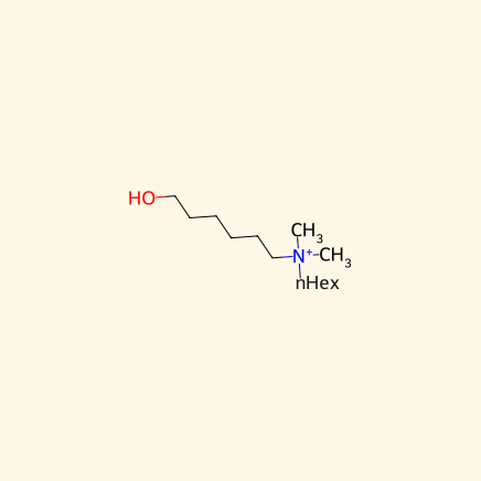 CCCCCC[N+](C)(C)CCCCCCO